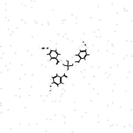 COCC(COC(=O)c1c(F)c(F)c(N=[N+]=[N-])c(F)c1F)(COC(=O)c1c(F)c(F)c(N=[N+]=[N-])c(F)c1F)COC(=O)c1c(F)c(F)c(N=[N+]=[N-])c(F)c1F